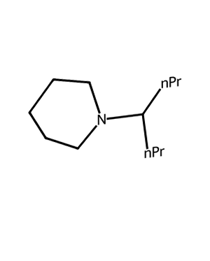 CCCC(CCC)N1CCCCC1